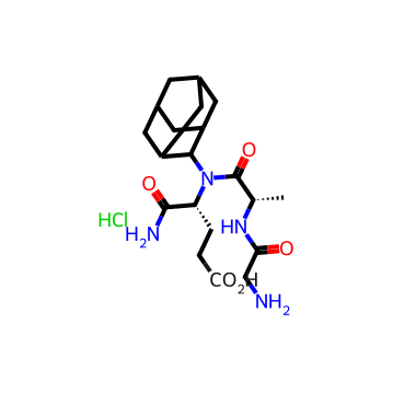 C[C@H](NC(=O)CN)C(=O)N(C1C2CC3CC(C2)CC1C3)[C@H](CCC(=O)O)C(N)=O.Cl